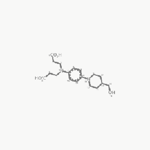 O=C(O)CCN(CCC(=O)O)c1ccc(N2CCC(CO)CC2)cc1